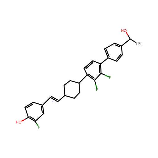 CCCC(O)c1ccc(-c2ccc(C3CCC(/C=C/c4ccc(O)c(F)c4)CC3)c(F)c2F)cc1